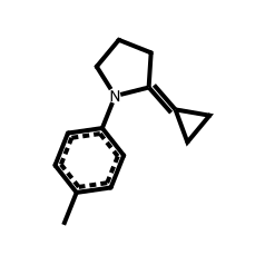 Cc1ccc(N2CCCC2=C2CC2)cc1